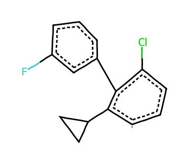 Fc1cccc(-c2c(C3CC3)[c]ccc2Cl)c1